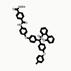 CNC(=O)c1ccc(C(=O)Nc2ccc(Oc3ccc(C(c4ccc(Oc5ccc(C)cc5)cc4)P4(=O)Oc5ccccc5-c5ccccc54)cc3)cc2)cc1